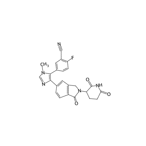 Cn1cnc(-c2ccc3c(c2)CN(C2CCC(=O)NC2=O)C3=O)c1-c1ccc(F)c(C#N)c1